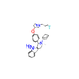 C[C@@H]1Cc2c([nH]c3ccccc23)[C@@H](c2ccc(O[C@H]3CCN(CCCF)C3)cc2)N1C1CC2CC1C2